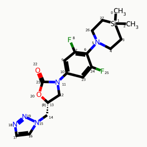 C[Si]1(C)CCN(c2c(F)cc(N3C[C@H](Cn4ccnn4)OC3=O)cc2F)CC1